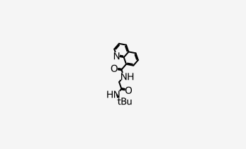 CC(C)(C)NC(=O)CNC(=O)c1cccc2cccnc12